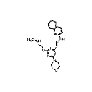 CNCCOc1nc(C=NNc2ccc3ccccc3c2)cc(N2CCOCC2)n1